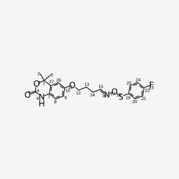 CC1(C)OC(=O)Nc2ccc(OCCCC=NOSc3ccc(F)cc3)cc21